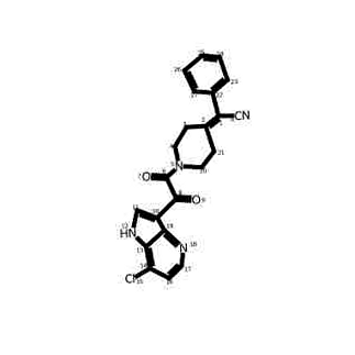 N#CC(=C1CCN(C(=O)C(=O)c2c[nH]c3c(Cl)ccnc23)CC1)c1ccccc1